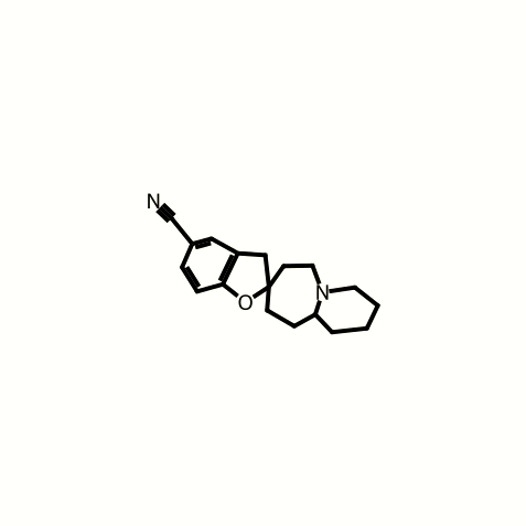 N#Cc1ccc2c(c1)CC1(CCC3CCCCN3CC1)O2